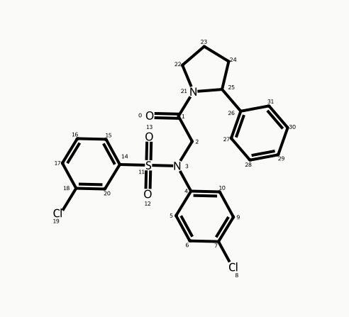 O=C(CN(c1ccc(Cl)cc1)S(=O)(=O)c1cccc(Cl)c1)N1CCCC1c1ccccc1